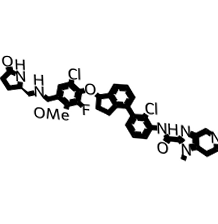 COc1c(CNC[C@H]2CCC(=O)N2)cc(Cl)c(OC2CCc3c(-c4cccc(NC(=O)c5nc6c(n5C)CCN(C)C6)c4Cl)cccc32)c1F